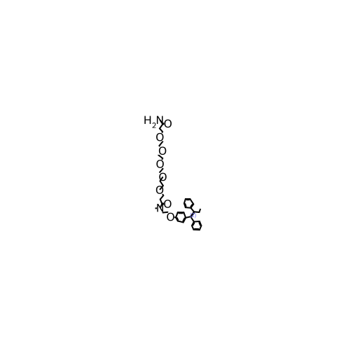 CC/C(=C(\c1ccccc1)c1ccc(OCCN(C)C(=O)CCOCCOCCOCCOCCOCCC(N)=O)cc1)c1ccccc1